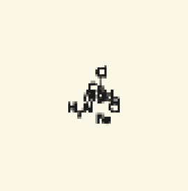 [AlH3].[Cl][Ca][Cl].[Fe].[MgH2]